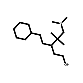 CN(C)[CH]C(C)(C)C(CCO)CCC1CCCCC1